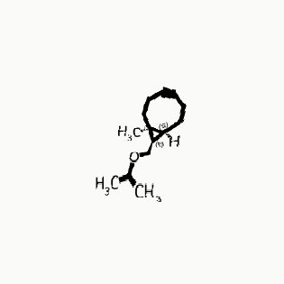 CC(C)OC[C@@H]1[C@@H]2CCC#CCC[C@]12C